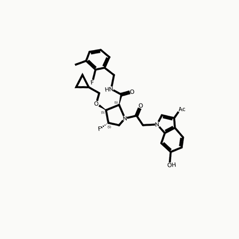 CC(=O)c1cn(CC(=O)N2C[C@H](F)[C@@H](OCC3CC3)[C@H]2C(=O)NCc2cccc(C)c2F)c2cc(O)ccc12